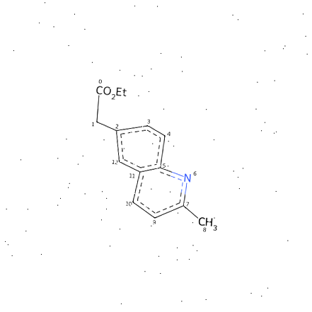 CCOC(=O)Cc1ccc2nc(C)ccc2c1